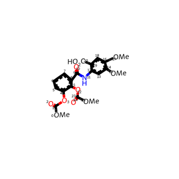 COC(=O)Oc1cccc(C(=O)Nc2cc(OC)c(OC)cc2C(=O)O)c1OC(=O)OC